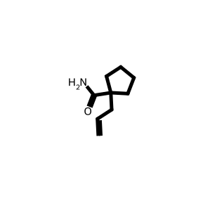 C=CCC1(C(N)=O)CCCC1